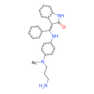 CC(=O)N(CCCN)c1ccc(N/C(=C2\C(=O)Nc3ccccc32)c2ccccc2)cc1